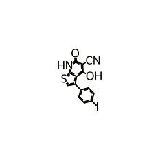 N#Cc1c(O)c2c(-c3ccc(I)cc3)csc2[nH]c1=O